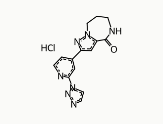 Cl.O=C1NCCCn2nc(-c3ccnc(-n4ccnn4)c3)cc21